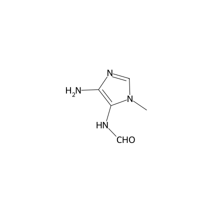 Cn1cnc(N)c1NC=O